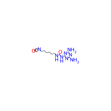 Nc1nc(N)nc(NC(=O)NCCCCCCN=C=O)n1